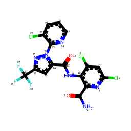 NC(=O)c1nc(Cl)cc(Cl)c1NC(=O)c1cc(C(F)(F)F)nn1-c1ncccc1Cl